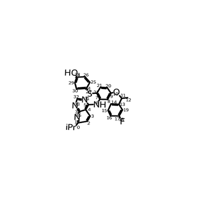 CC(C)c1ccc2c(Nc3cc(OC(C)c4cccc(F)c4)ccc3Sc3ccc(O)cc3)ncnc2n1